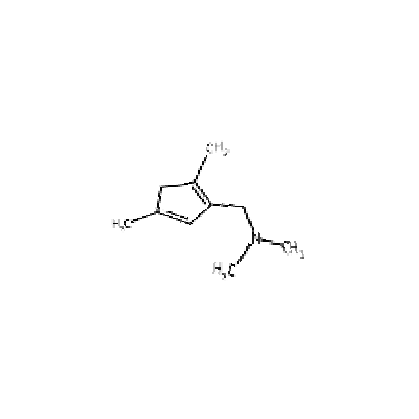 CC1=CC(CN(C)C)=C(C)C1